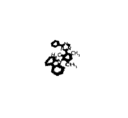 Cc1cc(C)c(-n2c3ccccc3c3ccccc32)c(C)c1-c1ncnc(-c2ccccc2)n1